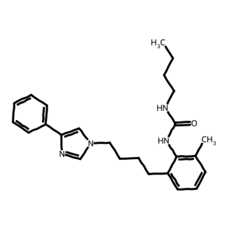 CCCCNC(=O)Nc1c(C)cccc1CCCCn1cnc(-c2ccccc2)c1